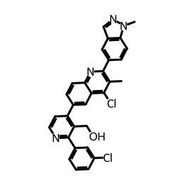 Cc1c(-c2ccc3c(cnn3C)c2)nc2ccc(-c3ccnc(-c4cccc(Cl)c4)c3CO)cc2c1Cl